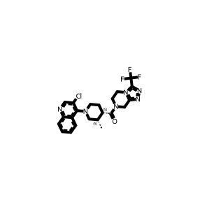 C[C@@H]1CN(c2c(Cl)cnc3ccccc23)CC[C@@H]1C(=O)N1CCn2c(nnc2C(F)(F)F)C1